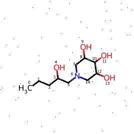 CCCC(O)CN1CC(O)C(O)C(O)C1